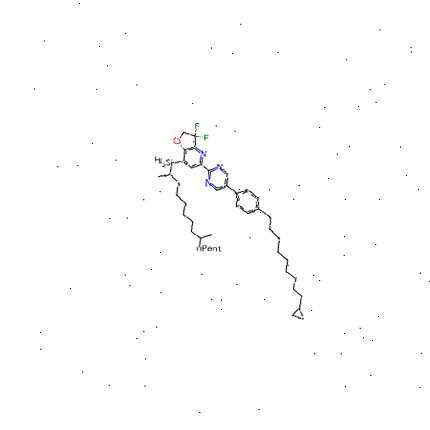 CCCCCC(C)CCCCCCC(C)[SiH2]c1cc(-c2ncc(-c3ccc(CCCCCCCCCC4CC4)cc3)cn2)nc2c1OCC2(F)F